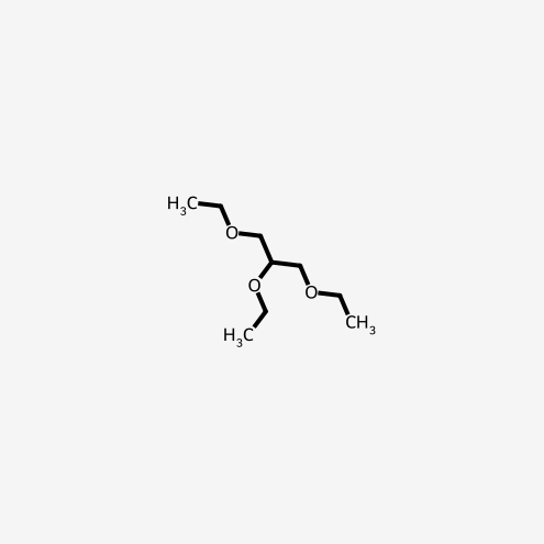 CCOCC(COCC)OCC